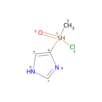 C[SH](=O)(Cl)c1c[nH]cn1